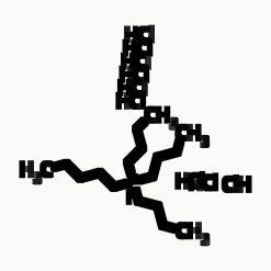 CCCCC[PH](CCCC)(CCCC)CCCC.Cl.Cl.Cl.Cl.Cl.Cl.Cl.Cl.Cl